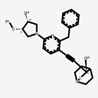 CC(C)O[C@H]1CN(c2ccc(C#C[C@@]3(O)CN4CCC3CC4)c(Cc3ccccc3)n2)C[C@H]1O